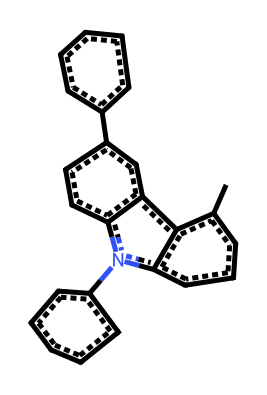 Cc1cccc2c1c1cc(-c3ccccc3)ccc1n2-c1ccccc1